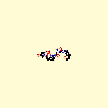 COC[C@@H]1C[C@@H](OC)CN1C(=O)CC(C)(C)CC(C)(C)CNC(=O)CN(C)CC(=O)NCC(C)(C)CC(C)(C)CC(C)=O